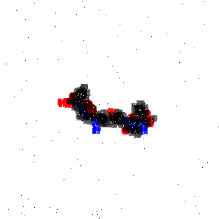 COC(=O)N[C@@H](C(=O)N1CCC[C@H]1C(=O)Nc1ccc2oc(-c3ccc(NC(=O)[C@@H]4CCCN4C(=O)[C@@H](c4ccccc4)N(C)C(=O)O)cc3)cc2c1)c1ccccc1